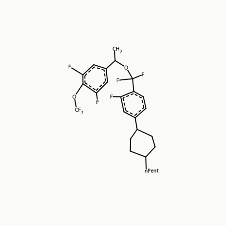 CCCCCC1CCC(c2ccc(C(F)(F)OC(C)c3cc(F)c(OC(F)(F)F)c(F)c3)c(F)c2)CC1